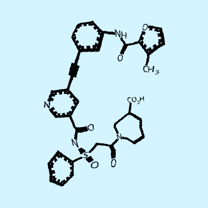 Cc1ccoc1C(=O)Nc1cccc(C#Cc2cncc(C(=O)N=S(=O)(CC(=O)N3CCCC(C(=O)O)C3)c3ccccc3)c2)c1